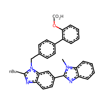 CCCCc1nc2ccc(-c3nc4ccccc4n3C)cc2n1Cc1ccc(-c2ccccc2OC(=O)O)cc1